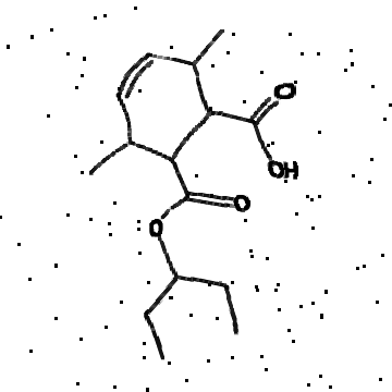 CCC(CC)OC(=O)C1C(C)C=CC(C)C1C(=O)O